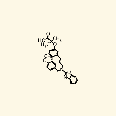 COc1ccc(CN(CCCc2cccc(OC(C)(C)C(=O)O)c2)c2nc3ccccc3o2)cc1